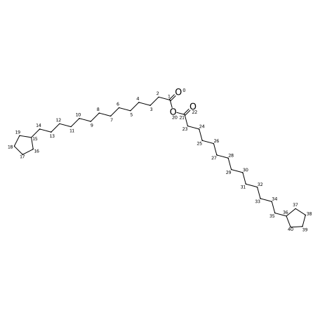 O=C(CCCCCCCCCCCCCC1CCCC1)OC(=O)CCCCCCCCCCCCCC1CCCC1